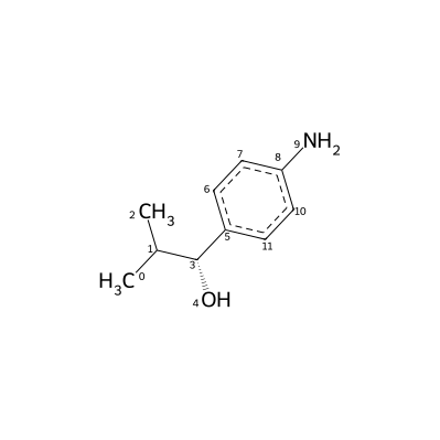 CC(C)[C@@H](O)c1ccc(N)cc1